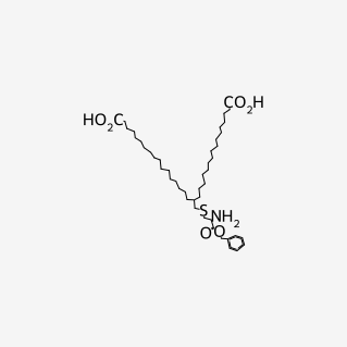 NC(CSCC(CCCCCCCCCCCCCCCCC(=O)O)CCCCCCCCCCCCCCCC(=O)O)C(=O)OCc1ccccc1